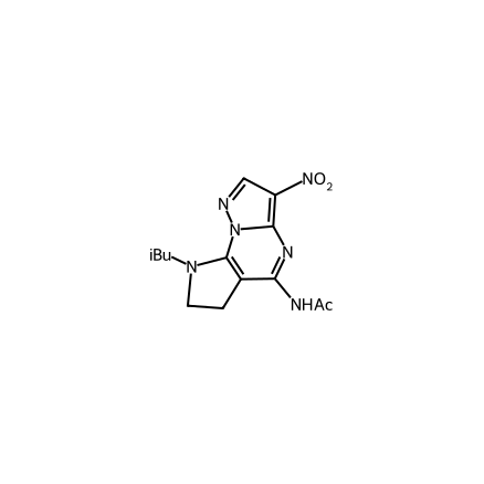 CCC(C)N1CCc2c(NC(C)=O)nc3c([N+](=O)[O-])cnn3c21